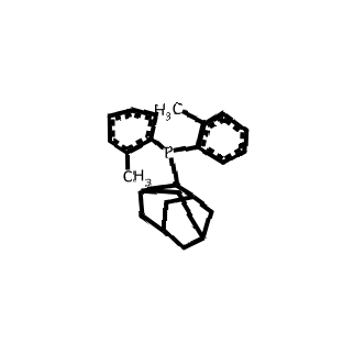 Cc1ccccc1P(c1ccccc1C)C1C2CC3CC(C2)CC1C3